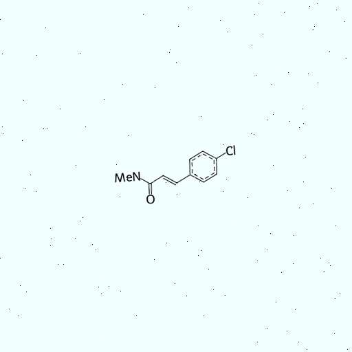 CNC(=O)C=Cc1ccc(Cl)cc1